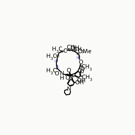 CO[C@H]1/C=C/O[C@@]2(C)Oc3c(C)c(O)c4c(=O)c(c5oc6cc(N7CCCCC7)cc(O)c6nc-5c4c3C2=O)NC(=O)/C(C)=C\C=C\[C@H](C)C[C@@H](C)C[C@@H](C)[C@H](O)[C@@H]1C